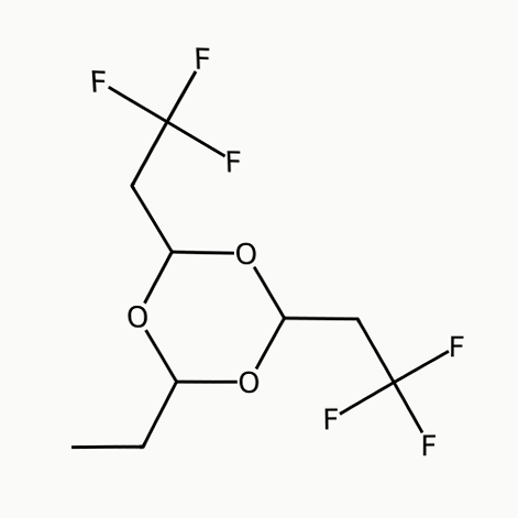 CCC1OC(CC(F)(F)F)OC(CC(F)(F)F)O1